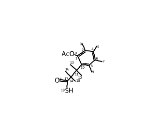 CC(=O)Oc1c(C)c(C)c(C)c(C)c1C(C)(C)C(C)(C)C(=O)S